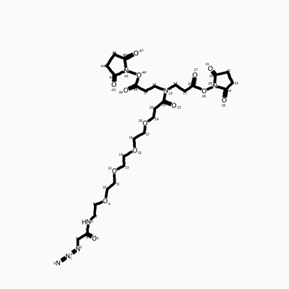 [N-]=[N+]=NCC(=O)NCCOCCOCCOCCOCCC(=O)N(CCC(=O)ON1C(=O)CCC1=O)CCC(=O)ON1C(=O)CCC1=O